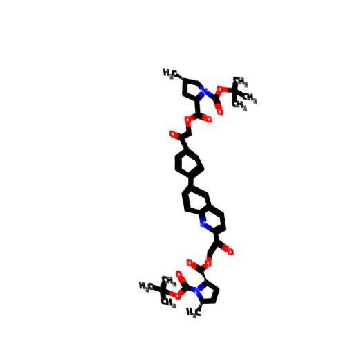 C[C@H]1CC(C(=O)OCC(=O)c2ccc(-c3ccc4nc(C(=O)COC(=O)[C@@H]5CC[C@H](C)N5C(=O)OC(C)(C)C)ccc4c3)cc2)N(C(=O)OC(C)(C)C)C1